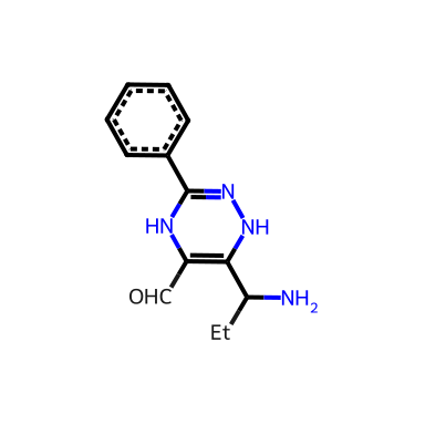 CCC(N)C1=C(C=O)NC(c2ccccc2)=NN1